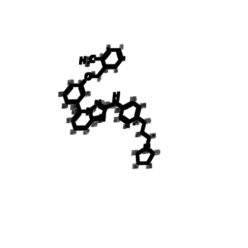 Cc1ccccc1COc1cccc(-c2cccc3nc(Nc4ccc(CCCN5CCCC5)cc4)nn23)c1